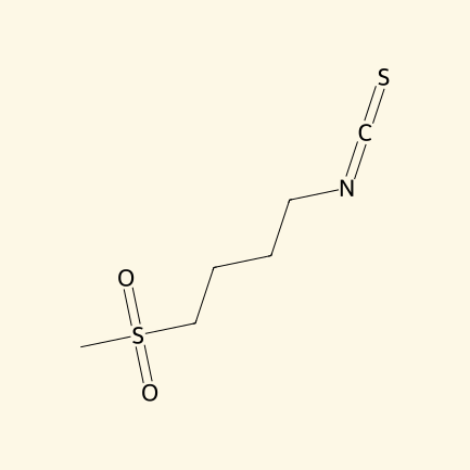 CS(=O)(=O)CCCCN=C=S